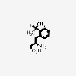 CC(C)(F)c1ccccc1CC(N)CC(=O)O